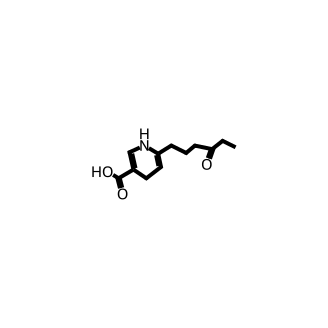 CCC(=O)CCCC1=CCC(C(=O)O)=CN1